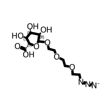 [N-]=[N+]=NCCOCCOCCOC1O[C@H](C(=O)O)[C@@H](O)[C@H](O)[C@H]1O